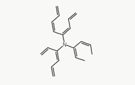 C=C/C=C\C(=C/C=C)N(/C(C=C)=C/C=C)C(/C=C\C)=C/C